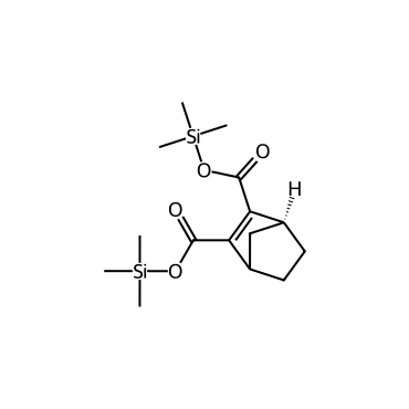 C[Si](C)(C)OC(=O)C1=C(C(=O)O[Si](C)(C)C)[C@H]2CCC1C2